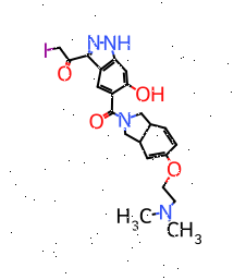 CN(C)CCOC1=CC2CN(C(=O)c3cc4c(C(=O)CI)n[nH]c4cc3O)CC2C=C1